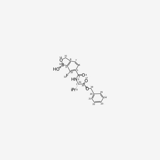 CC(C)[C@H](NC(=O)c1ccc2c(c1F)B(O)OC2)C(=O)OCc1ccccc1